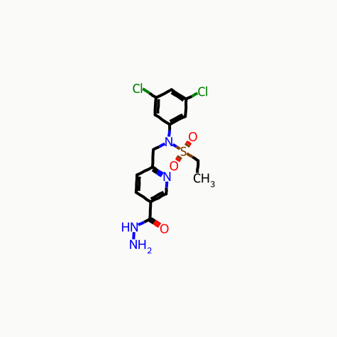 CCS(=O)(=O)N(Cc1ccc(C(=O)NN)cn1)c1cc(Cl)cc(Cl)c1